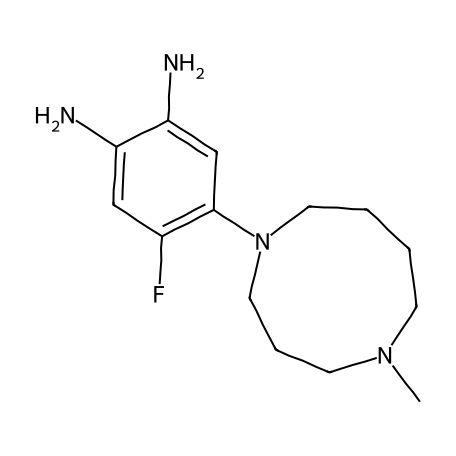 CN1CCCCN(c2cc(N)c(N)cc2F)CCC1